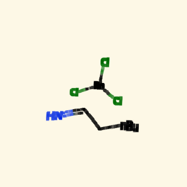 CCCCCC=N.[Cl][Rh]([Cl])[Cl]